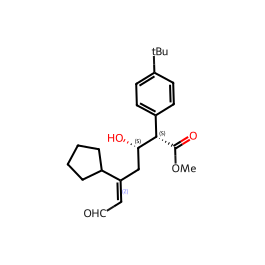 COC(=O)[C@@H](c1ccc(C(C)(C)C)cc1)[C@@H](O)C/C(=C/C=O)C1CCCC1